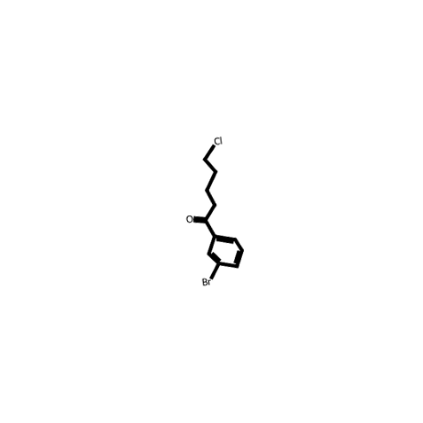 O=C(CCCCCl)c1cccc(Br)c1